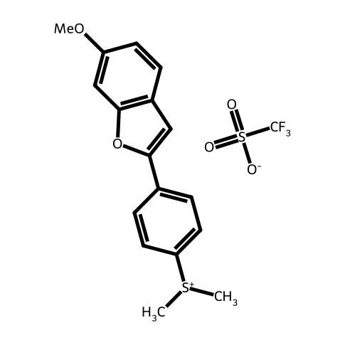 COc1ccc2cc(-c3ccc([S+](C)C)cc3)oc2c1.O=S(=O)([O-])C(F)(F)F